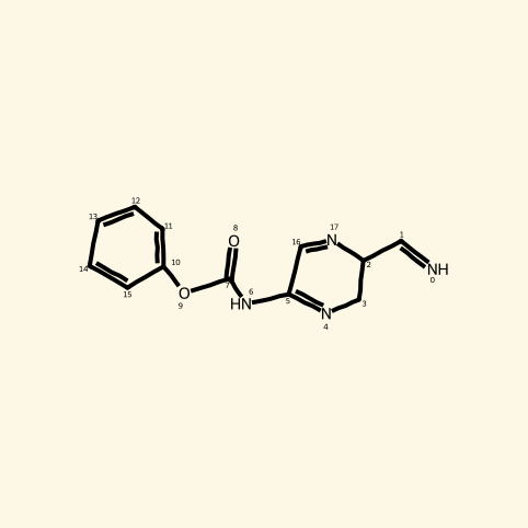 N=CC1CN=C(NC(=O)Oc2ccccc2)C=N1